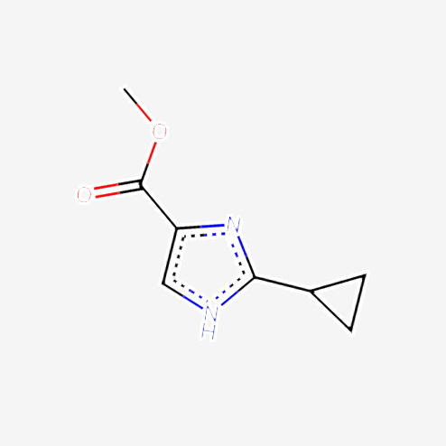 COC(=O)c1c[nH]c(C2CC2)n1